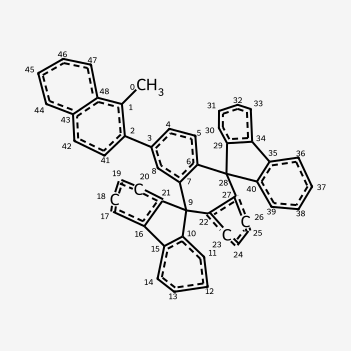 Cc1c(-c2ccc3c(c2)C2(c4ccccc4-c4ccccc42)c2ccccc2C32c3ccccc3-c3ccccc32)ccc2ccccc12